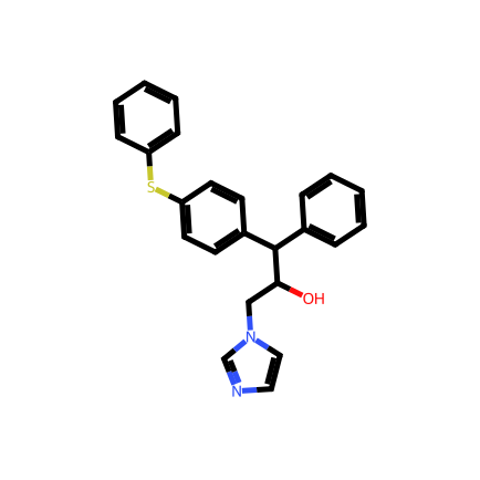 OC(Cn1ccnc1)C(c1ccccc1)c1ccc(Sc2ccccc2)cc1